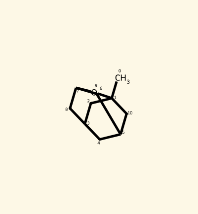 CC12CC3CC(CC(C3)O1)C2